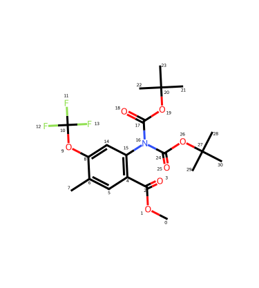 COC(=O)c1cc(C)c(OC(F)(F)F)cc1N(C(=O)OC(C)(C)C)C(=O)OC(C)(C)C